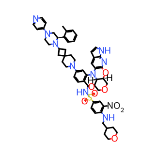 Cc1ccccc1[C@@H]1CN(c2ccncc2)CCN1C1CC2(CCN(c3ccc(C(=O)NS(=O)(=O)c4ccc(NCC5CCOCC5)c([N+](=O)[O-])c4)c(N4c5cc6cc[nH]c6nc5O[C@H]5COCC[C@@H]54)c3)CC2)C1